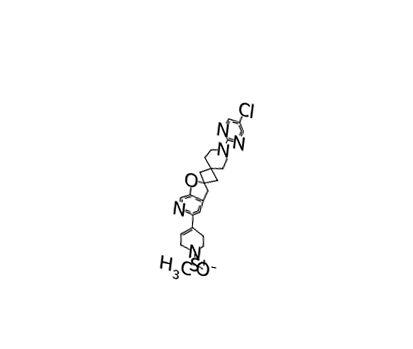 C[S+]([O-])N1CC=C(c2cc3c(cn2)OC2(C3)CC3(CCN(c4ncc(Cl)cn4)CC3)C2)CC1